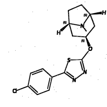 CN1[C@@H]2CC[C@H]1C[C@H](Oc1nnc(-c3ccc(Cl)cc3)s1)C2